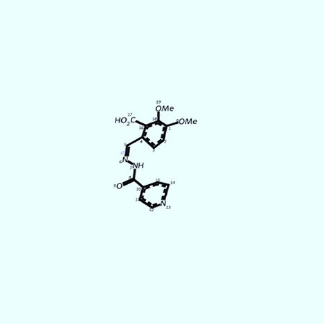 COc1ccc(/C=N\NC(=O)c2ccncc2)c(C(=O)O)c1OC